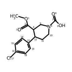 COC(=O)C1CN(C(=O)O)CCC1c1ccc(Cl)cc1